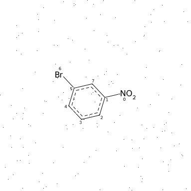 O=[N+]([O-])c1c[c]cc(Br)c1